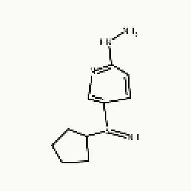 N=S(c1ccc(NN)nc1)C1CCCC1